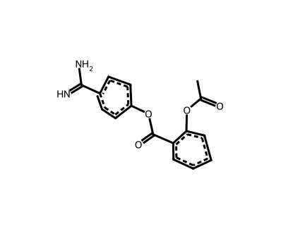 CC(=O)Oc1ccccc1C(=O)Oc1ccc(C(=N)N)cc1